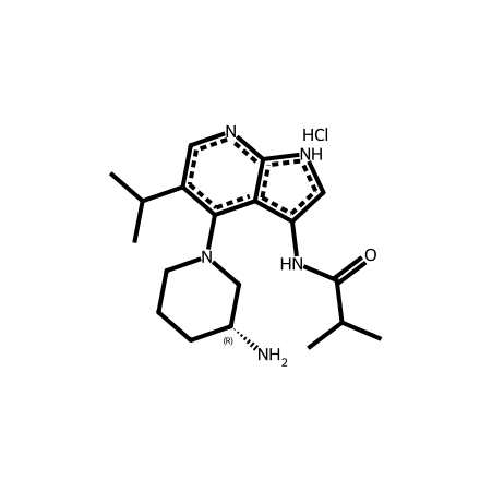 CC(C)C(=O)Nc1c[nH]c2ncc(C(C)C)c(N3CCC[C@@H](N)C3)c12.Cl